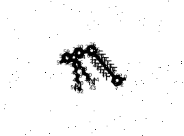 Cc1cccc(C(F)(F)C(F)(F)C(F)(F)C(F)(F)C(F)(F)C(F)(F)c2cccc(-c3ccc4c(c3)C(CCCCCCN(C)C)(CCCCCCN(C)C)c3cc(C)ccc3-4)c2)c1